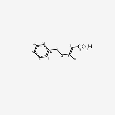 CC(=CC(=O)O)CCc1ccccc1